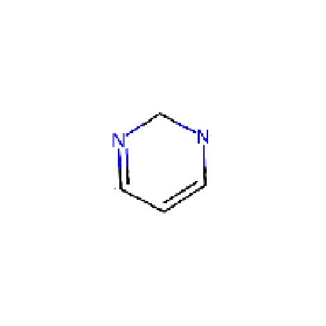 [C]1=NC[N]C=C1